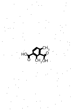 [CH2]c1c(C(=O)O)ccc(C)c1C(=O)O